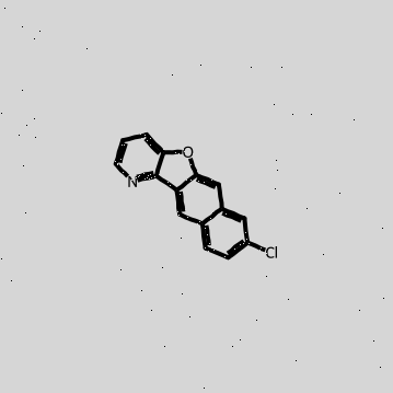 Clc1ccc2cc3c(cc2c1)oc1cccnc13